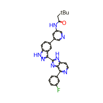 CC(C)(C)CC(=O)Nc1cncc(-c2ccc3[nH]nc(-c4nc5c(-c6cccc(F)c6)nccc5[nH]4)c3c2)c1